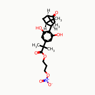 CC(C)(C(=O)OCCCO[N+](=O)[O-])c1cc(O)c([C@@H]2CC(=O)[C@@H]3C[C@@H]2C3(C)C)c(O)c1